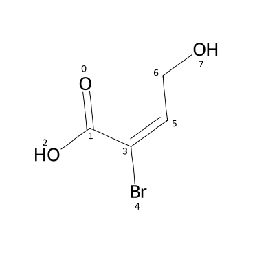 O=C(O)/C(Br)=C\CO